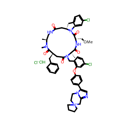 COC[C@@H]1NC(=O)[C@H](C)N(Cc2ccc(Cl)cc2Oc2ccc(-c3cnc4n3CC[N+]3(CCCC3)C4)cc2)C(=O)C[C@@H](Cc2ccccc2)C(=O)N(C)[C@@H](C)CNC(=O)C[C@H](Cc2ccc(Cl)cc2)N(C)C1=O.Cl.[Cl-]